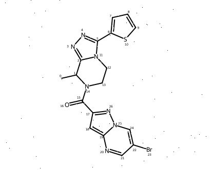 CC1c2nnc(-c3cccs3)n2CCN1C(=O)c1cc2ncc(Br)cn2n1